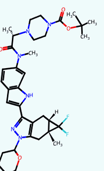 C[C@@H](C(=O)N(C)c1ccc2cc(-c3nn(C4CCCCO4)c4c3C[C@@H]3C(F)(F)[C@]3(C)C4)[nH]c2c1)N1CCN(C(=O)OC(C)(C)C)CC1